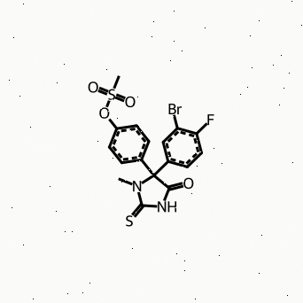 CN1C(=S)NC(=O)C1(c1ccc(OS(C)(=O)=O)cc1)c1ccc(F)c(Br)c1